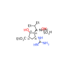 CCOC(=O)[C@H]1C[C@@H](NC(=N)N)[C@H]([C@@H](NC(C)=O)C(CC)CC)[C@@H]1O.O=S(=O)(O)O